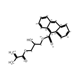 C=C(C)C(=O)OCC(O)COC(=O)c1c2ccccc2cc2ccccc12